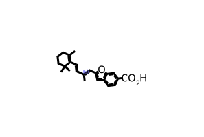 CC1=C(C=C/C(C)=C/c2cc3ccc(C(=O)O)cc3o2)C(C)(C)CCC1